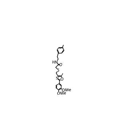 COc1ccc(-c2nc(CSCC(=O)NCCc3ccc(C)cc3)c(C)o2)cc1OC